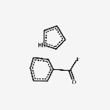 O=[C]([Ir])c1ccccc1.c1cc[nH]c1